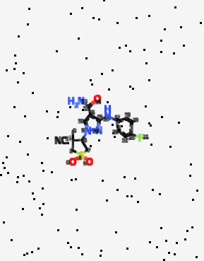 C[C@]1(C#N)CS(=O)(=O)CC1n1cc(C(N)=O)c(Nc2ccc(F)cc2)n1